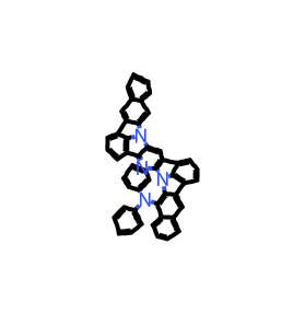 c1ccc(N(c2ccccc2)c2c3ccccc3cc3c4cccc5c6cc7c(nc6n(c23)c54)c2cccc3c4cc5ccccc5cc4n7c32)cc1